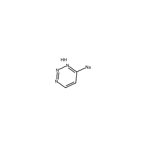 [HH].[Na][c]1ccnnn1